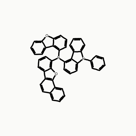 c1ccc(-n2c3ccccc3c3c(N(c4cccc5c4oc4c6ccccc6ccc54)c4cccc5oc6ccccc6c45)cccc32)cc1